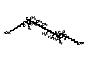 CCCCCCCCCCCCCCCCCC(=O)OC1CC(C)(C)C(/C=C/C(C)=C/C=C/C(C)=C/C=C/C=C(C)/C=C/C=C(C)/C=C/C2=C(C)C(=O)C(OC(=O)CCCCCCCCCCCCCCCCC)CC2(C)C)=C(C)C1=O